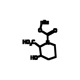 CCCCOC(=O)N1CCCC(O)C1C(=O)O